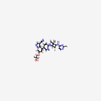 Cc1nccc(N[C@H]2[C@H](C)C3[C@H]2CN3c2ccc(-c3cc(OCC(C)(C)O)cn4ncc(C#N)c34)cn2)n1